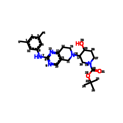 Cc1cc(C)cc(Nc2ncc3c(n2)CCN(C2CN(C(=O)OC(C)(C)C)CCC2O)C3)c1